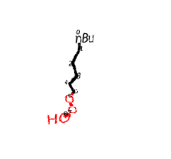 CCCCCCCCCOOO